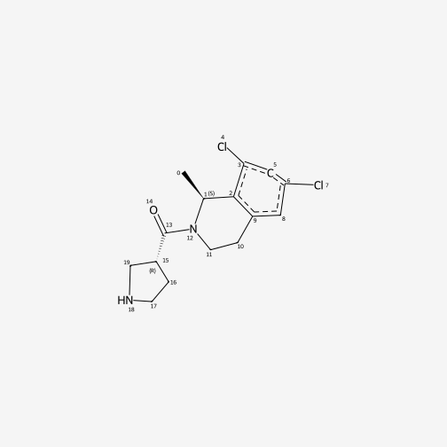 C[C@H]1c2c(Cl)cc(Cl)cc2CCN1C(=O)[C@@H]1CCNC1